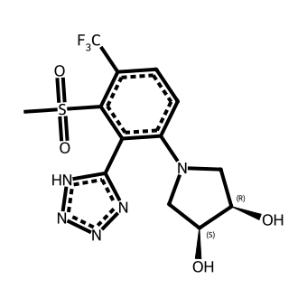 CS(=O)(=O)c1c(C(F)(F)F)ccc(N2C[C@@H](O)[C@@H](O)C2)c1-c1nnn[nH]1